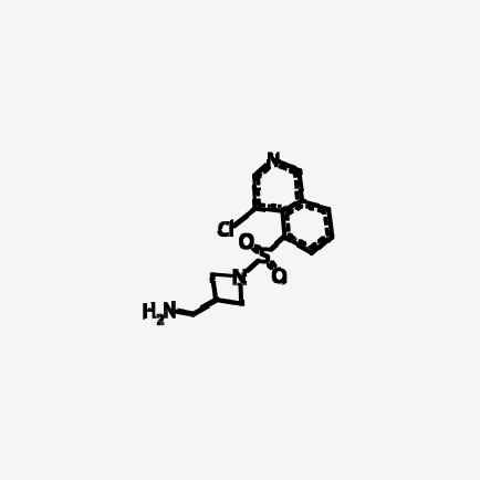 NCC1CN(S(=O)(=O)c2cccc3cncc(Cl)c23)C1